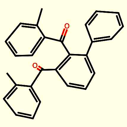 Cc1ccccc1C(=O)c1cccc(-c2ccccc2)c1C(=O)c1ccccc1C